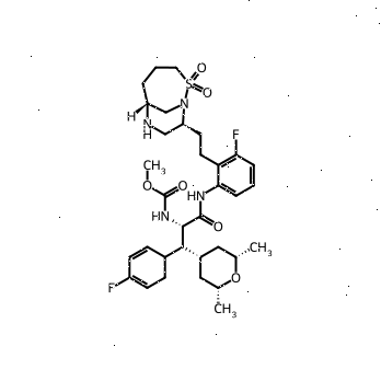 COC(=O)N[C@H](C(=O)Nc1cccc(F)c1CC[C@H]1CN[C@@H]2CCCS(=O)(=O)N1C2)C(C1C=CC(F)=CC1)[C@H]1C[C@@H](C)O[C@@H](C)C1